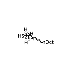 CCCCCCCCCCCCCCC(S)(S)C(S)(S)S